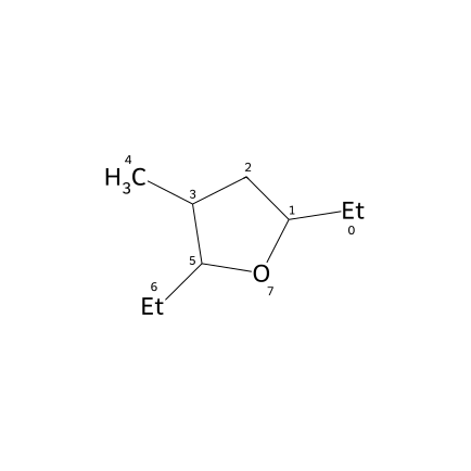 CCC1CC(C)C(CC)O1